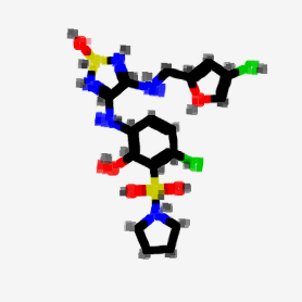 O=S(=O)(c1c(Cl)ccc(Nc2n[s+]([O-])nc2NCc2cc(Cl)co2)c1O)N1CCCC1